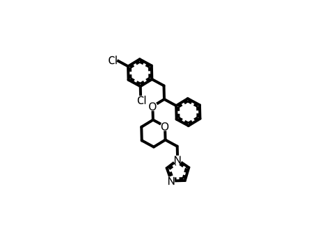 Clc1ccc(CC(OC2CCCC(Cn3ccnc3)O2)c2ccccc2)c(Cl)c1